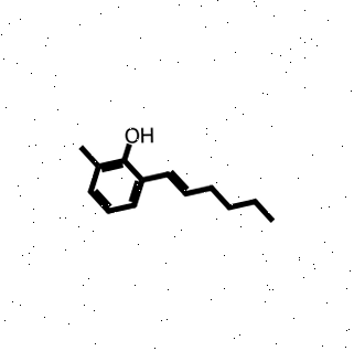 CCCCC=Cc1cccc(C)c1O